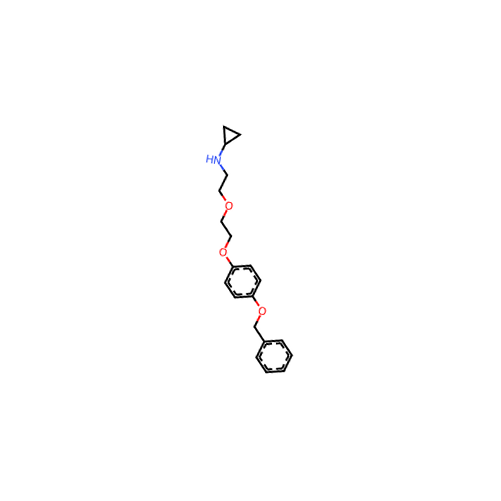 c1ccc(COc2ccc(OCCOCCNC3CC3)cc2)cc1